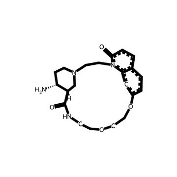 N[C@@H]1CCN2CCn3c(=O)ccc4ccc(cc43)OCCOCCNC(=O)[C@H]1C2